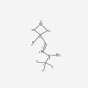 CC(C)(C)[S+]([O-])/N=C/C1(F)COC1